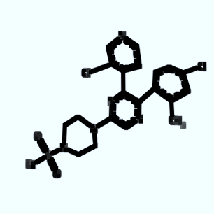 CCS(=O)(=O)N1CCN(c2cnc(-c3ccc(Cl)cc3C)c(-c3ccncc3Cl)n2)CC1